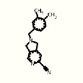 Cc1ccc(CN2Cc3cnc(C#N)cc3C2)cc1C